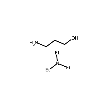 CCN(CC)CC.NCCCO